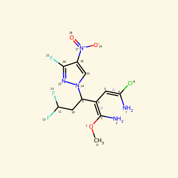 CO/C(N)=C(/C=C(\N)Cl)C(CC(F)F)n1cc([N+](=O)[O-])c(F)n1